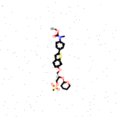 CN(C(=O)OC(C)(C)C)c1ccc(-c2cc3ccc(OC[C@@H](COS(C)(=O)=O)O[C@@H]4CCCCO4)cc3s2)cc1